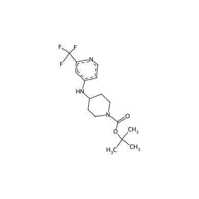 CC(C)(C)OC(=O)N1CCC(Nc2ccnc(C(F)(F)F)c2)CC1